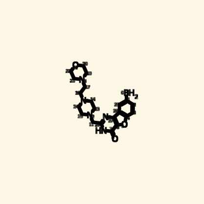 Bc1ccc2oc3c(=O)[nH]c(CN4CCN(CCN5CCOCC5)CC4)nc3c2c1